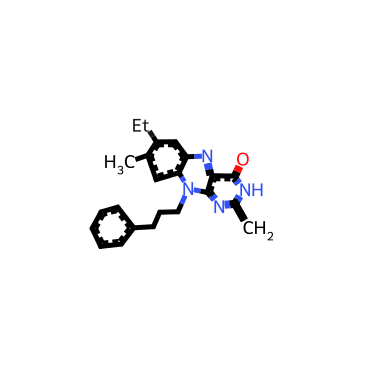 C=c1nc2c(c(=O)[nH]1)=Nc1cc(CC)c(C)cc1N2CCCc1ccccc1